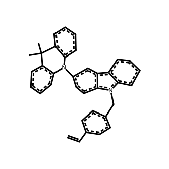 C=Cc1ccc(Cn2c3ccccc3c3cc(N4c5ccccc5C(C)(C)c5ccccc54)ccc32)cc1